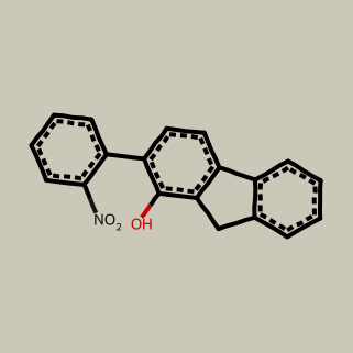 O=[N+]([O-])c1ccccc1-c1ccc2c(c1O)Cc1ccccc1-2